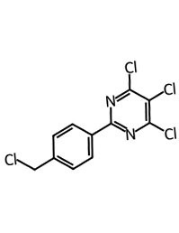 ClCc1ccc(-c2nc(Cl)c(Cl)c(Cl)n2)cc1